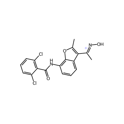 C/C(=N\O)c1c(C)oc2c(NC(=O)c3c(Cl)cccc3Cl)cccc12